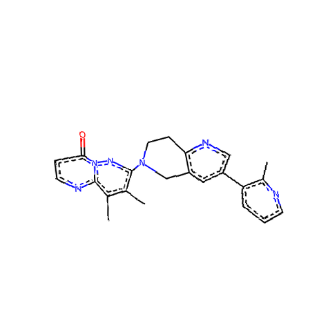 Cc1ncccc1-c1cnc2c(c1)CN(c1nn3c(=O)ccnc3c(C)c1C)CC2